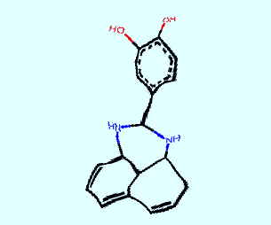 Oc1ccc(C2NC3C=CC=C4C=CCC(N2)C43)cc1O